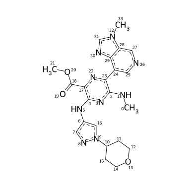 CNc1nc(Nc2cnn(C3CCOCC3)c2)c(C(=O)OC)nc1-c1cncc2c1ncn2C